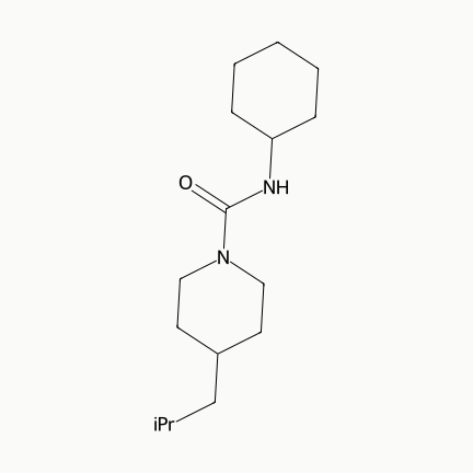 CC(C)CC1CCN(C(=O)NC2CCCCC2)CC1